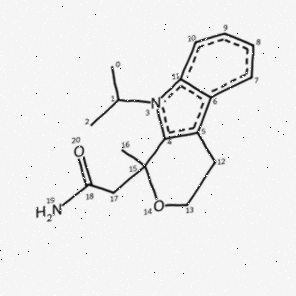 CC(C)n1c2c(c3ccccc31)CCOC2(C)CC(N)=O